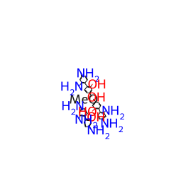 COc1ccc(-c2ccc(N)cc2N)c(O)c1.Nc1ccc(-c2ccc(N)cc2O)c(N)c1.Nc1ccc(-c2ccc(O)cc2O)c(N)c1